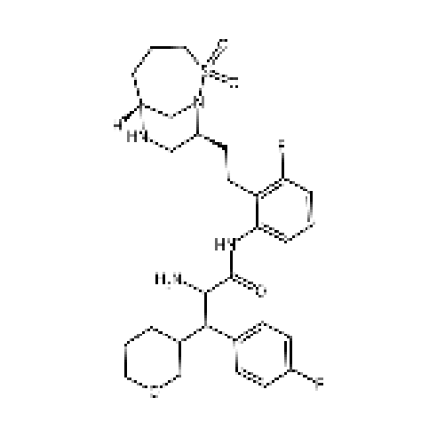 NC(C(=O)Nc1cccc(F)c1CC[C@H]1CN[C@@H]2CCCS(=O)(=O)N1C2)C(c1ccc(F)cc1)C1CCCOC1